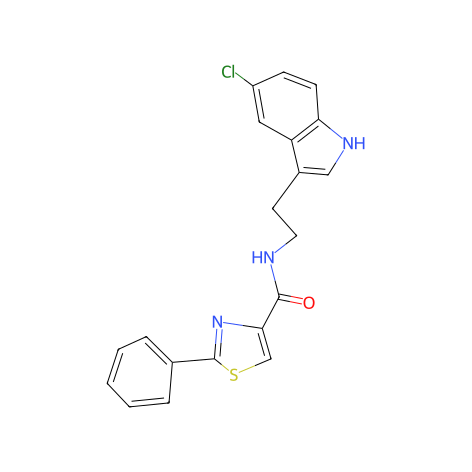 O=C(NCCc1c[nH]c2ccc(Cl)cc12)c1csc(-c2ccccc2)n1